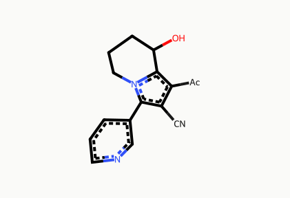 CC(=O)c1c(C#N)c(-c2cccnc2)n2c1C(O)CCC2